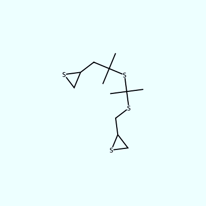 CC(C)(CC1CS1)SC(C)(C)SCC1CS1